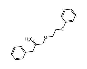 C=C(COCCOc1ccccc1)Cc1ccccc1